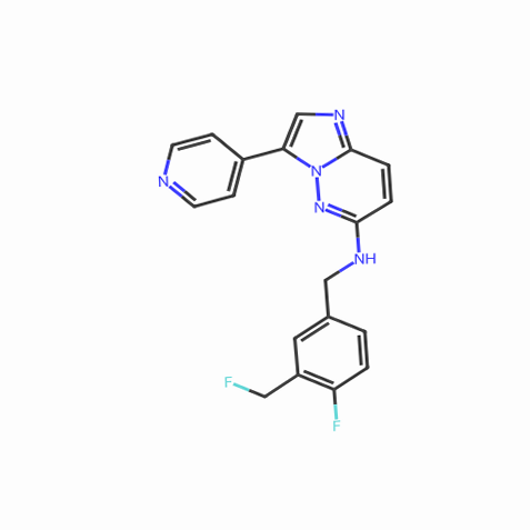 FCc1cc(CNc2ccc3ncc(-c4ccncc4)n3n2)ccc1F